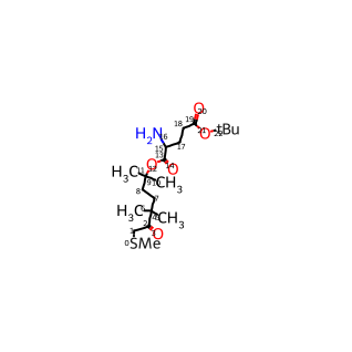 CSCC(=O)C(C)(C)CCC(C)(C)OC(=O)C(N)CCC(=O)OC(C)(C)C